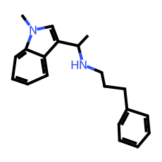 CC(NCCCc1ccccc1)c1cn(C)c2ccccc12